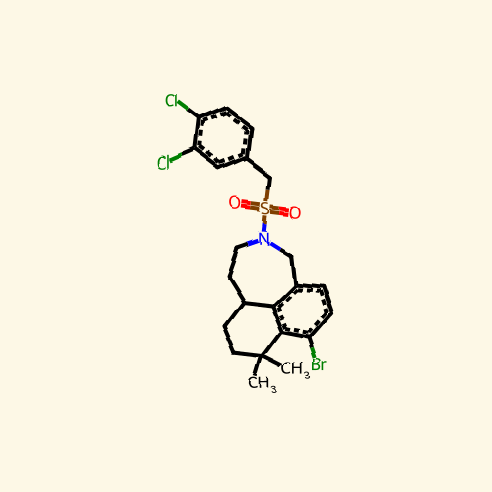 CC1(C)CCC2CCN(S(=O)(=O)Cc3ccc(Cl)c(Cl)c3)Cc3ccc(Br)c1c32